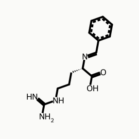 N=C(N)NCCC[C@H](N=Cc1ccccc1)C(=O)O